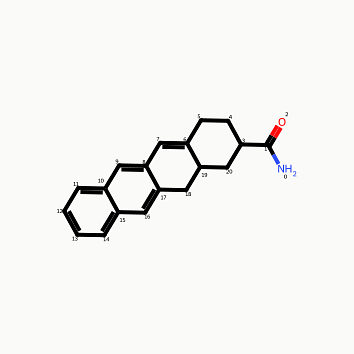 NC(=O)C1CCC2=Cc3cc4ccccc4cc3CC2C1